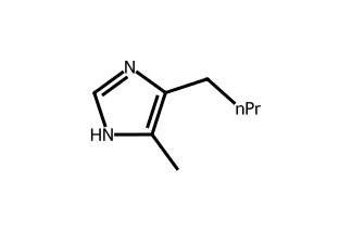 [CH2]CCCc1nc[nH]c1C